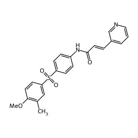 COc1ccc(S(=O)(=O)c2ccc(NC(=O)C=Cc3cccnc3)cc2)cc1C